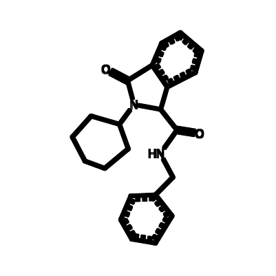 O=C(NCc1ccccc1)C1c2ccccc2C(=O)N1C1CCCCC1